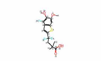 COc1cc2sc(C(F)(F)CC(C)(C)C(=O)O)cc2c(F)c1OC